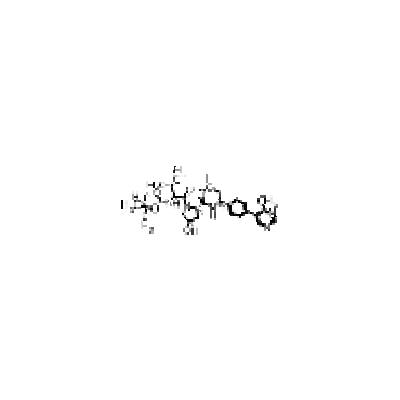 Cc1ncncc1-c1ccc([C@H](CO)NC(=O)[C@@H]2C[C@@H](O)CN2C(=O)[C@@H](NC(=O)OC(C)(C)C)C(C)C)cc1